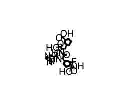 O=C(NC(C(=O)N[C@H]1Cc2cccc(C(=O)O)c2OB1O)c1ccc(P(=O)(O)O)c(F)c1)c1cncnn1